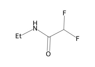 CCNC(=O)C(F)F